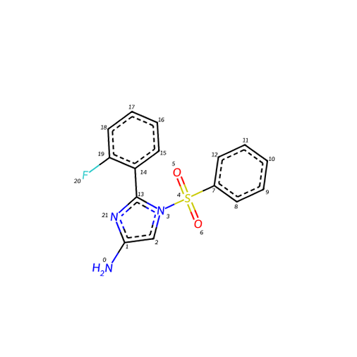 Nc1cn(S(=O)(=O)c2ccccc2)c(-c2ccccc2F)n1